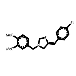 CCc1ccc(C=C2CN(Cc3ccc(OC)c(OC)c3)CS2)cc1